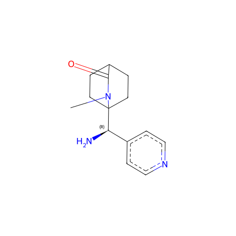 CN1C(=O)C2CCC1([C@H](N)c1ccncc1)CC2